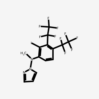 CN(c1ccc(C(F)(F)C(F)(F)F)c(C(F)(F)C(F)(F)F)c1I)n1cccn1